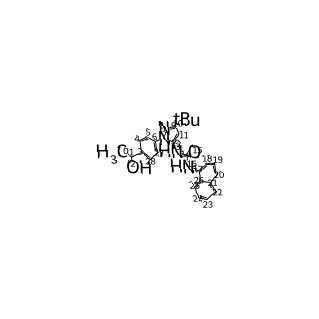 CC(O)c1ccc(-n2nc(C(C)(C)C)cc2NC(=O)Nc2cccc3ccccc23)cc1